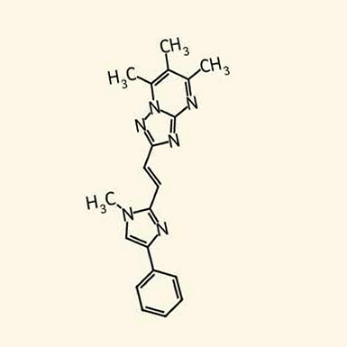 Cc1nc2nc(/C=C/c3nc(-c4ccccc4)cn3C)nn2c(C)c1C